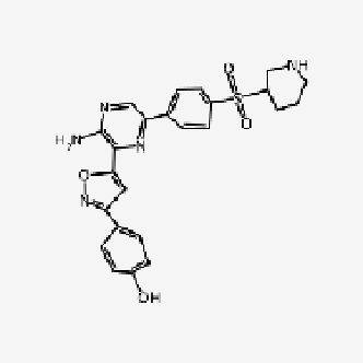 Nc1ncc(-c2ccc(S(=O)(=O)C3CCCNC3)cc2)nc1-c1cc(-c2ccc(O)cc2)no1